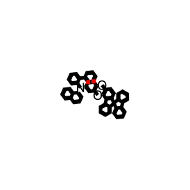 c1ccc(-c2ccccc2N(c2ccc3c(c2)Oc2c(ccc4c2-c2ccccc2C42c4ccccc4-c4ccccc42)O3)c2cccc3ccccc23)cc1